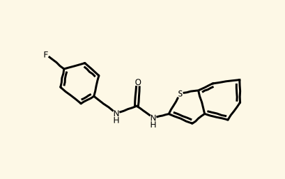 O=C(Nc1ccc(F)cc1)Nc1cc2ccccc2s1